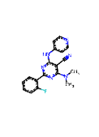 CN(C)c1nc(-c2ccccc2F)nc(Nc2ccncc2)c1C#N